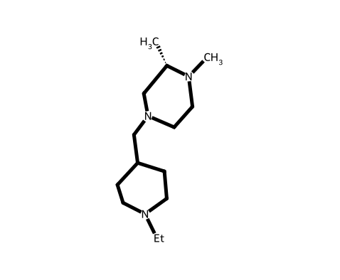 CCN1CCC(CN2CCN(C)[C@@H](C)C2)CC1